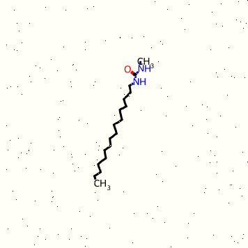 CCCCCCCCCCCCCCCCNC(=O)NC